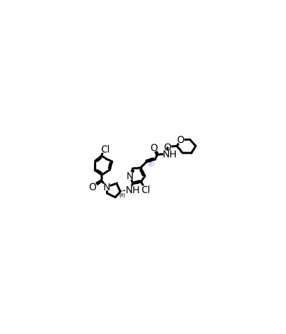 O=C(/C=C/c1cnc(N[C@@H]2CCN(C(=O)c3ccc(Cl)cc3)C2)c(Cl)c1)NOC1CCCCO1